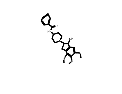 COc1cc2c(c(OC)c1OC)CC(N1CCC(NC(=O)c3ccccc3)CC1)C2O